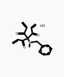 C=CC(=O)C(C(=O)C=C)(C(=O)C=C)N(C)Cc1ccccc1.Cl